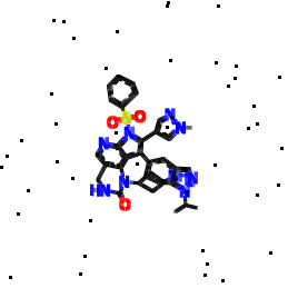 CC(C)n1ncc2cc(-c3c(-c4cnn(C)c4)n(S(=O)(=O)c4ccccc4)c4ncc5c(c34)N(C3CC(N)C3)C(=O)NC5)ccc21